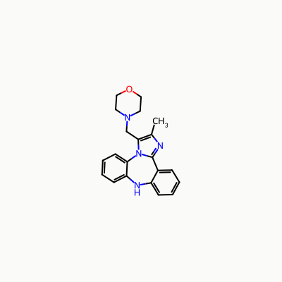 Cc1nc2n(c1CN1CCOCC1)-c1ccccc1Nc1ccccc1-2